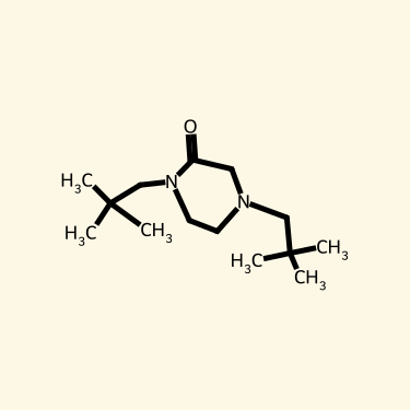 CC(C)(C)CN1CCN(CC(C)(C)C)C(=O)C1